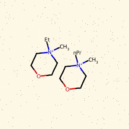 CCC[N+]1(C)CCOCC1.CC[N+]1(C)CCOCC1